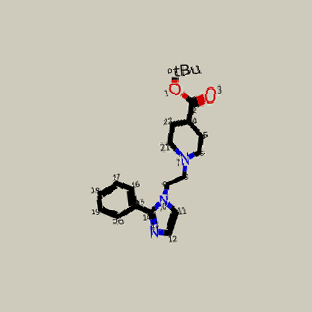 CC(C)(C)OC(=O)C1CCN(CCn2ccnc2-c2ccccc2)CC1